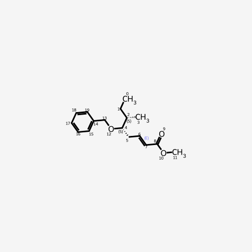 CC[C@H](C)[C@H](C/C=C/C(=O)OC)OCc1ccccc1